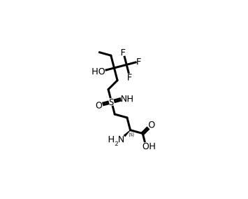 CCC(O)(CCS(=N)(=O)CC[C@H](N)C(=O)O)C(F)(F)F